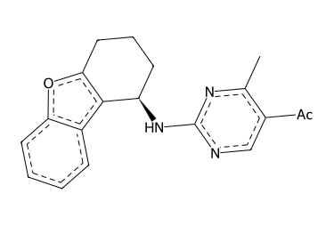 CC(=O)c1cnc(N[C@@H]2CCCc3oc4ccccc4c32)nc1C